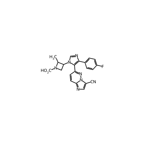 CC1C(n2cnc(-c3ccc(F)cc3)c2-c2ccc3ncc(C#N)n3n2)CN1C(=O)O